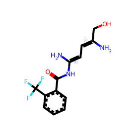 N/C(=C\C=C(/N)NC(=O)c1ccccc1C(F)(F)F)CO